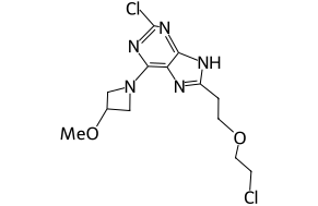 COC1CN(c2nc(Cl)nc3[nH]c(CCOCCCl)nc23)C1